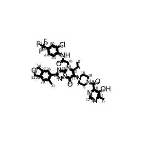 CCc1c(N2CCN(C(=O)c3ncnc(C)c3O)CC2)c(=O)n2nc(-c3cc4c(cc3C)COC4)nc2n1CC(=O)Nc1ccc(C(F)(F)F)cc1Cl